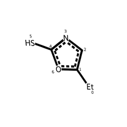 CCc1cnc(S)o1